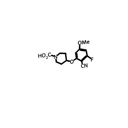 COc1cc(F)c(C#N)c(OC2CCN(C(=O)O)CC2)c1